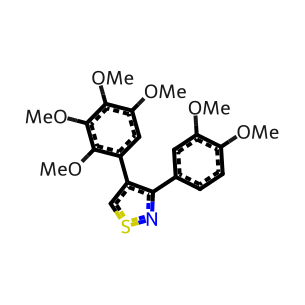 COc1ccc(-c2nscc2-c2cc(OC)c(OC)c(OC)c2OC)cc1OC